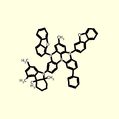 Cc1cc2c3c(c1)N(c1cccc4c1oc1ccccc14)c1cc(N4c5cc(C)cc(C)c5C5(C)CCCCC45C)ccc1B3c1cc(-c3ccccc3)ccc1N2c1ccc2c(c1)oc1ccccc12